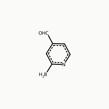 Bc1cc(C=O)ccn1